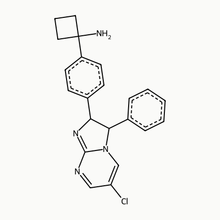 NC1(c2ccc(C3N=C4N=CC(Cl)=CN4C3c3ccccc3)cc2)CCC1